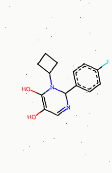 OC1=C(O)N(C2CCC2)C(c2ccc(F)cc2)N=C1